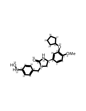 COc1ccc([C@H]2CN(Cc3ccc(NO)cc3)C(=O)N2)cc1OC1CCCC1